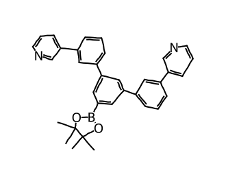 CC1(C)OB(c2cc(-c3cccc(-c4cccnc4)c3)cc(-c3cccc(-c4cccnc4)c3)c2)OC1(C)C